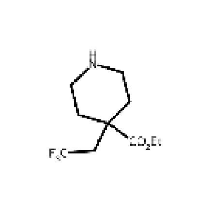 CCOC(=O)C1(CC(F)(F)F)CCNCC1